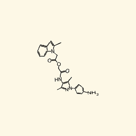 Cc1nn(-c2ccc(N)cc2)c(C)c1NC(=O)COC(=O)Cn1c(C)cc2ccccc21